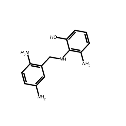 Nc1ccc(N)c(CNc2c(N)cccc2O)c1